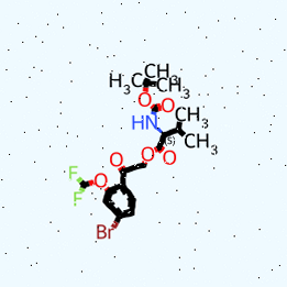 CC(C)[C@H](NC(=O)OC(C)(C)C)C(=O)OCC(=O)c1ccc(Br)cc1OC(F)F